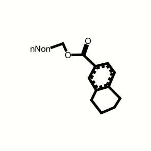 CCCCCCCCCCOC(=O)c1ccc2c(c1)CCCC2